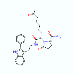 CC(=O)CCCCC[C@@H](C(=O)NCCc1c(-c2ccccc2)[nH]c2ccccc12)N1C(=O)CC[C@H]1C(N)=O